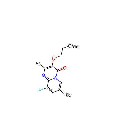 CCc1nc2c(F)cc(C(C)(C)C)cn2c(=O)c1OCCOC